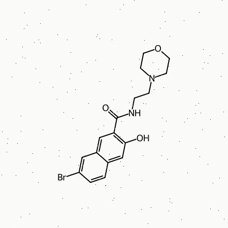 O=C(NCCN1CCOCC1)c1cc2cc(Br)ccc2cc1O